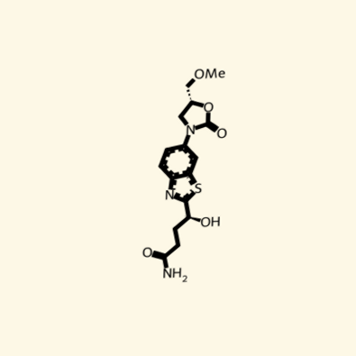 COC[C@H]1CN(c2ccc3nc([C@@H](O)CCC(N)=O)sc3c2)C(=O)O1